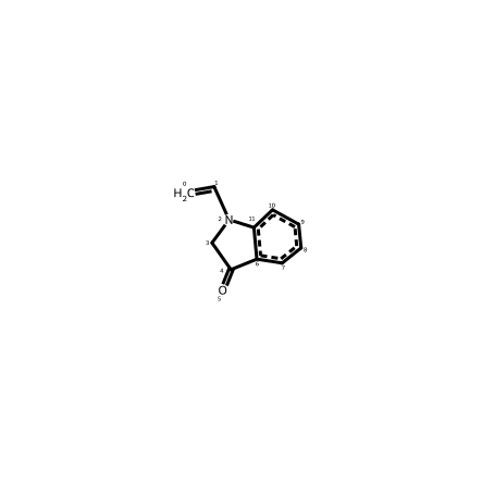 C=CN1CC(=O)c2ccccc21